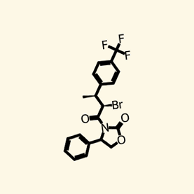 C[C@@H](c1ccc(C(F)(F)F)cc1)[C@@H](Br)C(=O)N1C(=O)OCC1c1ccccc1